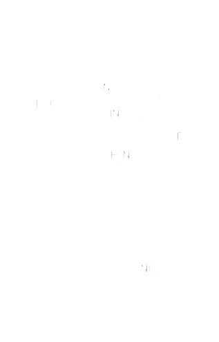 CN(CC(=O)O)NC(=O)C(N)(F)CCCCN